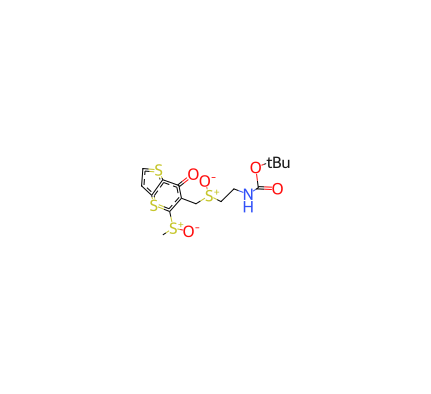 C[S+]([O-])c1sc2ccsc2c(=O)c1C[S+]([O-])CCNC(=O)OC(C)(C)C